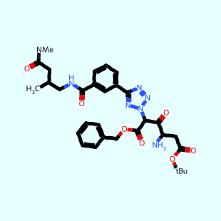 CNC(=O)CC(C)CNC(=O)c1cccc(-c2nnn(C(C(=O)OCc3ccccc3)C(=O)C(N)CC(=O)OC(C)(C)C)n2)c1